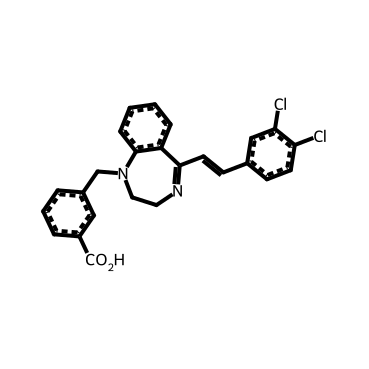 O=C(O)c1cccc(CN2CCN=C(C=Cc3ccc(Cl)c(Cl)c3)c3ccccc32)c1